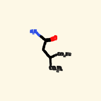 CCOC(=O)C(CC(N)=O)C(=O)OCC